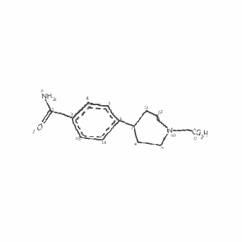 NC(=O)c1ccc(C2CCN(C(=O)O)CC2)cc1